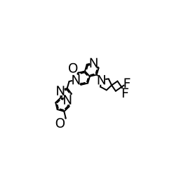 O=Cc1ccc2nc(Cn3ccc4c(N5CCC6(C5)CC(F)(F)C6)cncc4c3=O)cn2c1